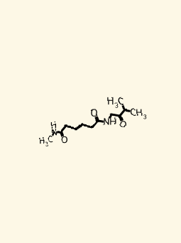 CNC(=O)CCCCC(=O)NCC(=O)C(C)C